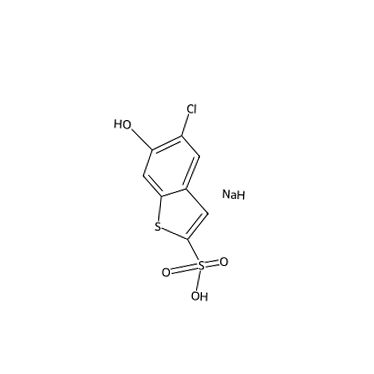 O=S(=O)(O)c1cc2cc(Cl)c(O)cc2s1.[NaH]